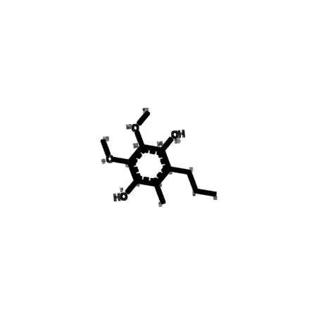 CCCc1c(C)c(O)c(OC)c(OC)c1O